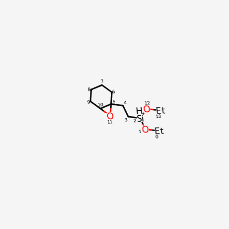 CCO[SiH](CCC12CCCCC1O2)OCC